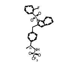 C[C@H](NS(=O)(=O)C(F)(F)F)c1ccc(Cc2cc3ccccc3n2S(=O)(=O)c2ccccc2F)cc1